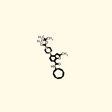 Cc1cc2c(N3CCN(C(=O)OC(C)(C)C)CC3)ccc(C(=O)Nc3ccccccccc3)c2o1